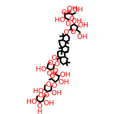 CC1OC(OC2C(OC(=O)C34CCC(C)(C)CC3C3=CCC5C6(C)CCC(OC7OC(CO)C(O)C(O)C7OC7OC(CO)C(O)C(O)C7O)C(C)(C)C6CCC5(C)C3(C)CC4)OCC(O)C2O)C(O)C(O)C1OC1OCC(O)C(OC2OCC(O)C(O)C2O)C1O